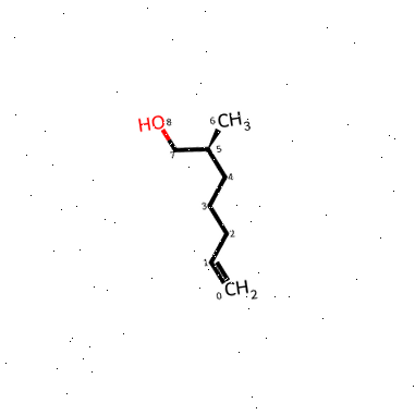 C=CCCC[C@H](C)CO